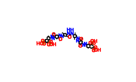 COc1cc(N=Nc2cc(C)c(NC(=O)Nc3cc(C)c(N=Nc4cc(OC)c(N=Nc5ccc6cc(S(=O)(=O)O)cc(S(=O)(=O)O)c6c5)cc4OC)cc3C)cc2C)c(OC)cc1N=Nc1ccc2c(c1)C(S(=O)(=O)O)CC(S(=O)(=O)O)=C2